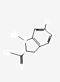 NC(=O)[C@@H]1Cc2ccc(O)cc2N1C(=O)O